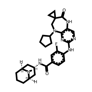 CN1[C@@H]2CCC[C@H]1C[C@H](NC(=O)c1ccc(Nc3ncc4c(n3)N(C3CCCC3)CC3(CC3)C(=O)N4)c(F)c1)C2